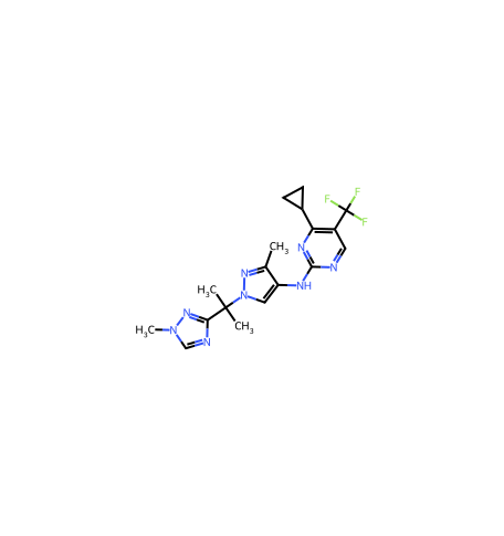 Cc1nn(C(C)(C)c2ncn(C)n2)cc1Nc1ncc(C(F)(F)F)c(C2CC2)n1